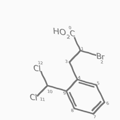 O=C(O)C(Br)Cc1ccccc1C(Cl)Cl